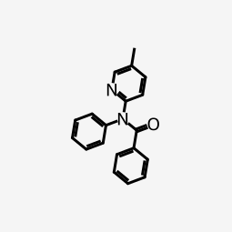 Cc1ccc(N(C(=O)c2ccccc2)c2ccccc2)nc1